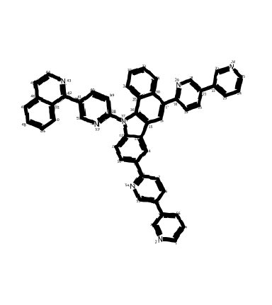 c1cncc(-c2ccc(-c3ccc4c(c3)c3cc(-c5ccc(-c6cccnc6)cn5)c5ccccc5c3n4-c3ccc(-c4nccc5ccccc45)cn3)nc2)c1